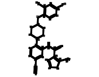 C#Cc1ccc(N2CCC(Cc3ccc(F)cc3F)CC2)c(NC(=C)C2=C(CCC)CC=N2)c1